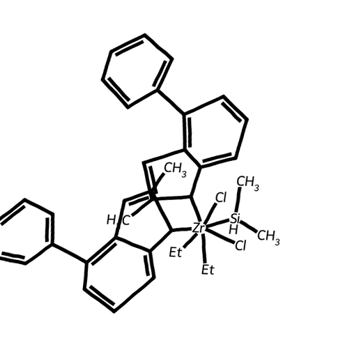 C[CH2][Zr]([Cl])([Cl])([CH2]C)([CH]1C(C)=Cc2c(-c3ccccc3)cccc21)([CH]1C(C)=Cc2c(-c3ccccc3)cccc21)[SiH](C)C